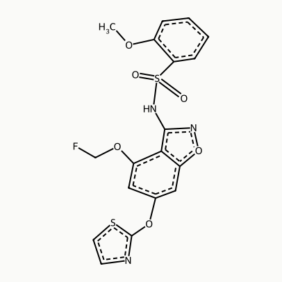 COc1ccccc1S(=O)(=O)Nc1noc2cc(Oc3nccs3)cc(OCF)c12